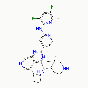 CC1(C)CNCCC1C(N)c1nc(-c2ccnc(Nc3nc(F)c(F)cc3F)c2)nc2cncc(C3CCC3)c12